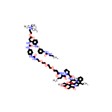 CCCNC(=O)Nc1cccc(SNc2cccc(C(CC(=O)OCC[N+](C)(C)C)NC(=O)Nc3ccc(NC(=O)NCCOCCOCCOCCC(=O)NC(CCC)C(=O)N4CCCC4C(=O)NC(C(=O)OC4(CC)C(=O)OCc5c4cc4n(c5=O)Cc5c-4nc4ccccc4c5CC)C(C)C)cc3)c2)c1